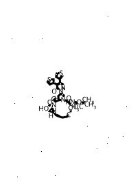 CC(C)(C)OC(=O)N[C@H]1CCCCC/C=C\[C@@H]2C[C@@]2(C(=O)O)NC(=O)[C@@H]2C[C@@H](n3ncc(-c4ccsc4)c(C4C=CSC4)c3=O)CN2C1=O